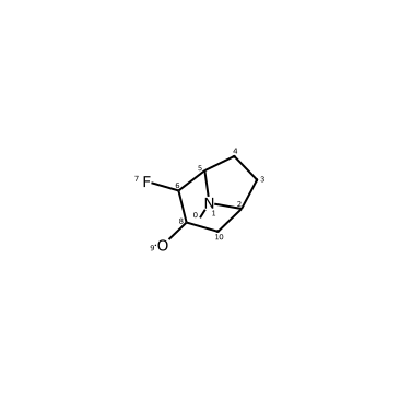 CN1C2CCC1C(F)C([O])C2